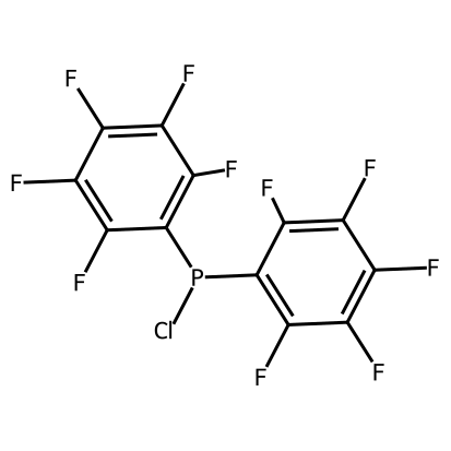 Fc1c(F)c(F)c(P(Cl)c2c(F)c(F)c(F)c(F)c2F)c(F)c1F